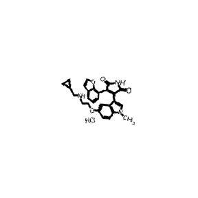 Cl.Cn1cc(C2=C(c3cccc4ccoc34)C(=O)NC2=O)c2cc(OCCNCC3CC3)ccc21